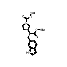 CC(C)(C)OC(=O)[C@@H](Cc1ccc2cc[nH]c2c1)[C@H]1CCN(C(=O)OC(C)(C)C)C1